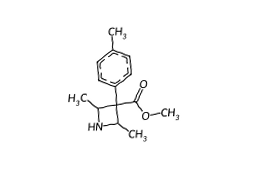 COC(=O)C1(c2ccc(C)cc2)C(C)NC1C